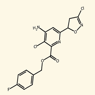 Nc1cc(C2CC(Cl)=NO2)nc(C(=O)OCc2ccc(F)cc2)c1Cl